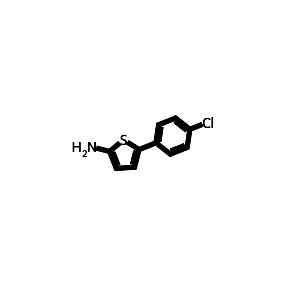 Nc1ccc(-c2ccc(Cl)cc2)s1